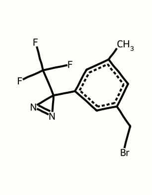 Cc1cc(CBr)cc(C2(C(F)(F)F)N=N2)c1